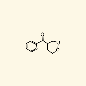 O=C(c1ccccc1)C1CCOOC1